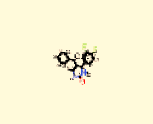 CC(=O)OC(C1=C(C)N(C)C(=O)N(C)C1c1ccc(F)c(F)c1)c1ccccc1